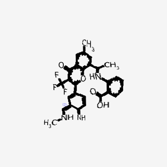 CN/C=C1/C=C(c2oc3c(C(C)Nc4ccccc4C(=O)O)cc(C)cc3c(=O)c2C(F)(F)F)C=CC1=N